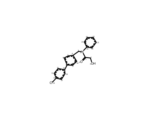 O=C(CO)N(Cc1ccc(-c2ccc(Cl)cc2)cc1)c1ccccc1